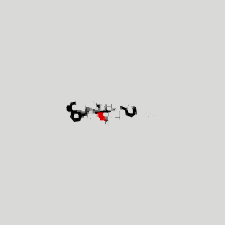 COc1ccc(C(=O)NC[C@@H]2NC(=N)N3C[C@H](NC(=O)c4cccc5c4OCCC5(C)C)C(O)(O)[C@@]34NC(=N)N[C@@H]24)nc1